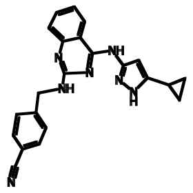 N#Cc1ccc(CNc2nc(Nc3cc(C4CC4)[nH]n3)c3ccccc3n2)cc1